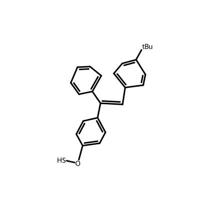 CC(C)(C)c1ccc(/C=C(\c2ccccc2)c2ccc(OS)cc2)cc1